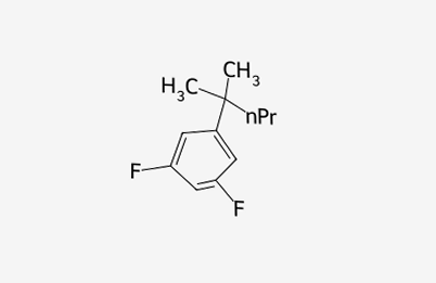 CCCC(C)(C)c1cc(F)cc(F)c1